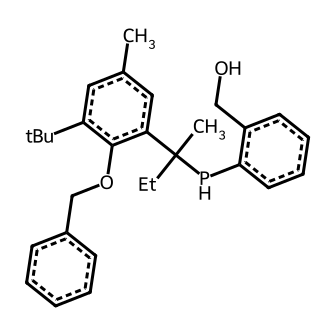 CCC(C)(Pc1ccccc1CO)c1cc(C)cc(C(C)(C)C)c1OCc1ccccc1